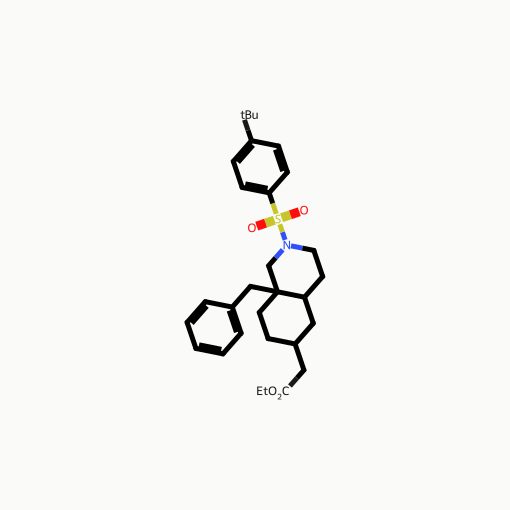 CCOC(=O)CC1CCC2(Cc3ccccc3)CN(S(=O)(=O)c3ccc(C(C)(C)C)cc3)CCC2C1